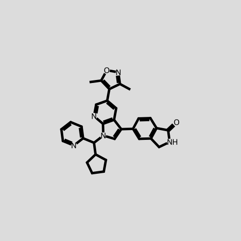 Cc1noc(C)c1-c1cnc2c(c1)c(-c1ccc3c(c1)CNC3=O)cn2C(c1ccccn1)C1CCCC1